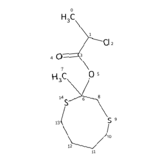 CC(Cl)C(=O)OC1(C)CSCCCCS1